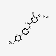 CCCCCCCCCOc1ccc(C(=O)Oc2ccc(-c3ncc(CCCCCCCC)cn3)cc2)cc1F